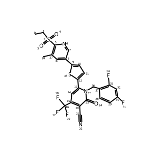 CCS(=O)(=O)c1ncc(-c2ccc(-c3cc(C(F)(F)F)c(C#N)c(=O)n3Cc3ccc(F)cc3F)s2)cc1C